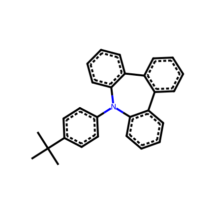 CC(C)(C)c1ccc(N2c3ccccc3-c3ccccc3-c3ccccc32)cc1